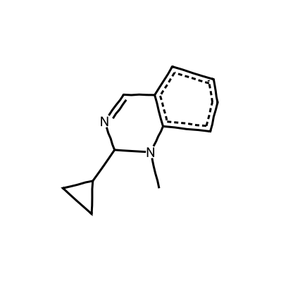 CN1c2ccccc2C=NC1C1CC1